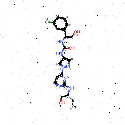 CC(C)C[C@H](CO)Nc1nccc(-n2cc(NC(=O)NC(CO)c3cccc(Cl)c3)cn2)n1